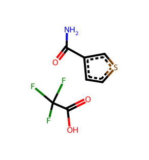 NC(=O)c1ccsc1.O=C(O)C(F)(F)F